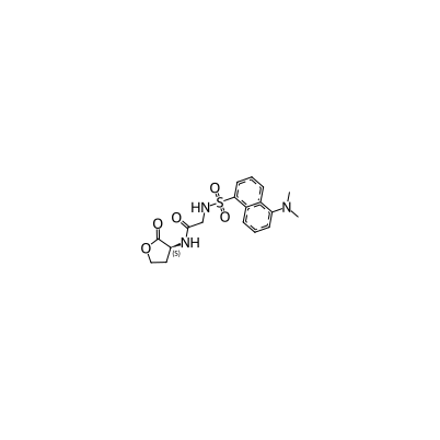 CN(C)c1cccc2c(S(=O)(=O)NCC(=O)N[C@H]3CCOC3=O)cccc12